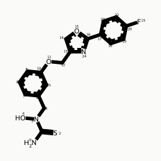 NC(=S)N(O)Cc1cccc(OCc2coc(-c3ccc(F)cc3)n2)c1